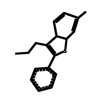 CCCC1=C(c2ccccc2)SC2C=C(C)C=CC12